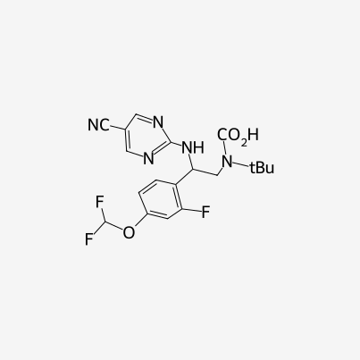 CC(C)(C)N(CC(Nc1ncc(C#N)cn1)c1ccc(OC(F)F)cc1F)C(=O)O